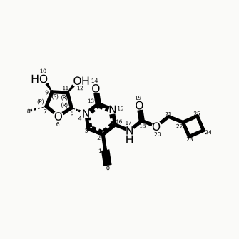 C#Cc1cn([C@@H]2O[C@H](C)[C@@H](O)[C@H]2O)c(=O)nc1NC(=O)OCC1CCC1